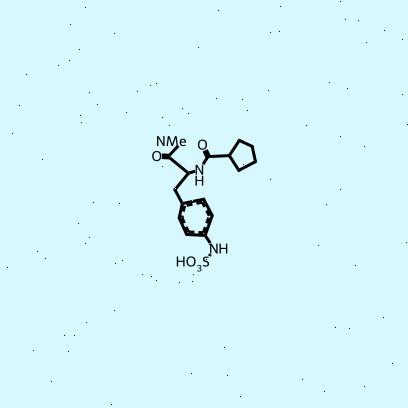 CNC(=O)C(Cc1ccc(NS(=O)(=O)O)cc1)NC(=O)C1CCCC1